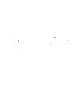 CC(C)c1cccc(C(C)C)c1NC(=O)CCCCCCCCSc1nc2cc(OCc3ccccc3)ccc2o1